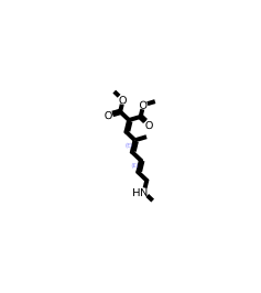 CNC/C=C/C=C(\C)C=C(C(=O)OC)C(=O)OC